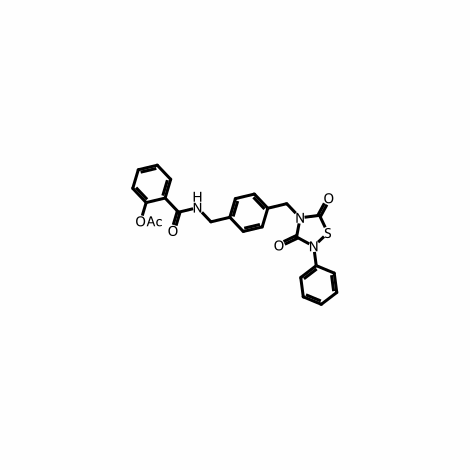 CC(=O)Oc1ccccc1C(=O)NCc1ccc(Cn2c(=O)sn(-c3ccccc3)c2=O)cc1